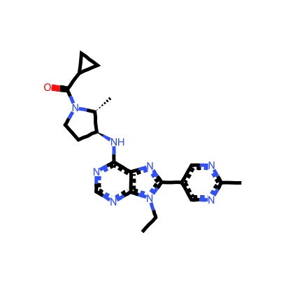 CCn1c(-c2cnc(C)nc2)nc2c(N[C@H]3CCN(C(=O)C4CC4)[C@@H]3C)ncnc21